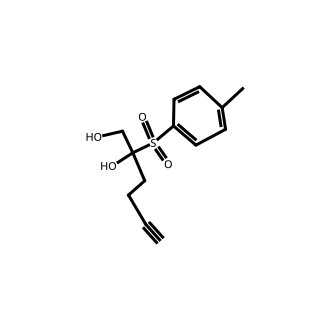 C#CCCC(O)(CO)S(=O)(=O)c1ccc(C)cc1